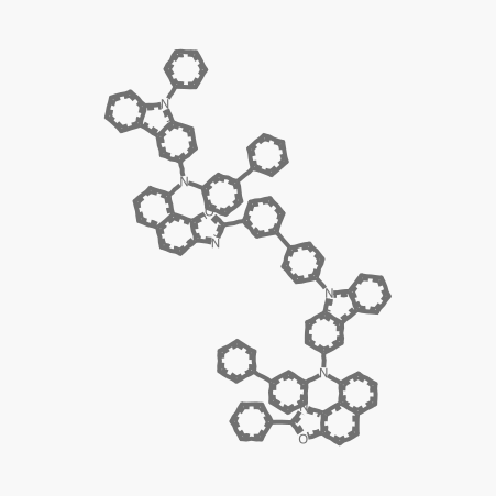 c1ccc(-c2cccc(N(c3ccc4c(c3)c3ccccc3n4-c3ccc(-c4cccc(-c5nc6ccc7cccc(N(c8cccc(-c9ccccc9)c8)c8ccc9c(c8)c8ccccc8n9-c8ccccc8)c7c6o5)c4)cc3)c3cccc4ccc5oc(-c6ccccc6)nc5c34)c2)cc1